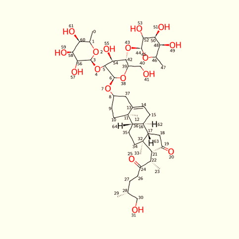 CC1O[C@@H](OC2[C@H](OC3CC[C@@]4(C)C(=CC[C@H]5[C@@H]6CC(=O)[C@H]([C@H](C)C(=O)CC[C@@H](C)CO)[C@@]6(C)CC[C@@H]54)C3)OC(CO)[C@@H](O[C@@H]3OC(C)[C@H](O)[C@H](O)C3O)[C@@H]2O)C(O)[C@@H](O)[C@H]1O